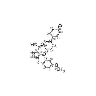 COc1ccc(Cn2nnc(C(=O)O)c2OC2CCN(c3ccc(Cl)cc3)CC2)cc1